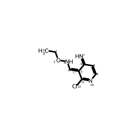 CCON/C=C1\C(=N)C=CN=C1Cl